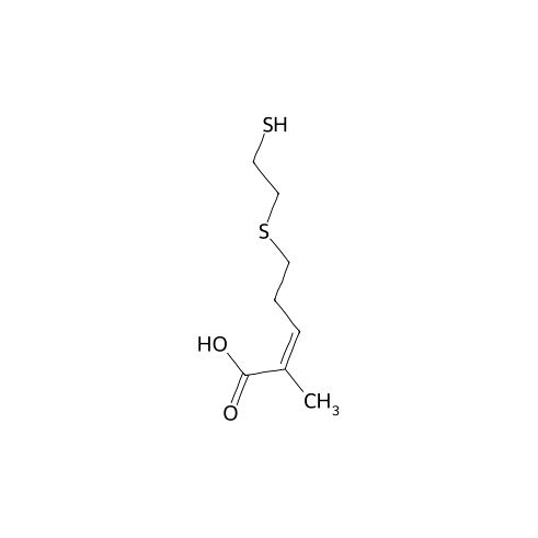 CC(=CCCSCCS)C(=O)O